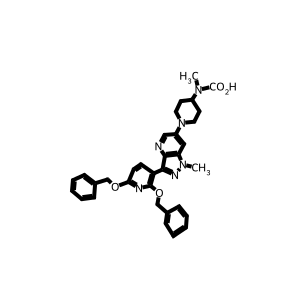 CN(C(=O)O)C1CCN(c2cnc3c(-c4ccc(OCc5ccccc5)nc4OCc4ccccc4)nn(C)c3c2)CC1